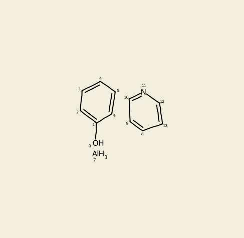 Oc1ccccc1.[AlH3].c1ccncc1